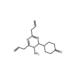 C=CCC1=NC(N2CCC(=O)CC2)N(N)C(CC=C)=N1